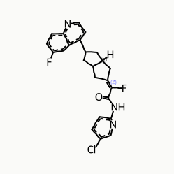 O=C(Nc1ccc(Cl)cn1)/C(F)=C1\CC2CC(c3ccnc4ccc(F)cc34)C[C@@H]2C1